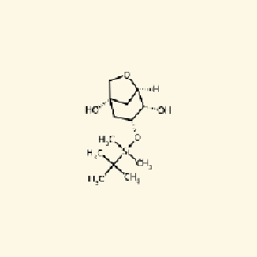 CC(C)(C)[Si](C)(C)O[C@@H]1C[C@@]2(O)CO[C@H](C2)[C@@H]1O